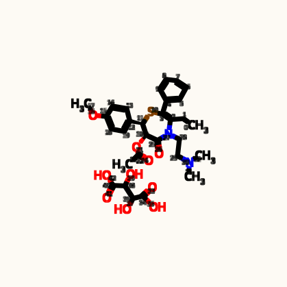 CCC1=C(c2ccccc2)S[C@H](c2ccc(OC)cc2)[C@H](OC(C)=O)C(=O)N1CCN(C)C.O=C(O)C(O)C(O)C(=O)O